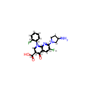 NC1CCN(c2nc3c(cc2F)c(=O)c(C(=O)O)cn3-c2ccccc2F)C1